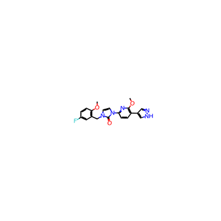 COc1ccc(F)cc1Cn1ccn(-c2ccc(-c3cn[nH]c3)c(OC)n2)c1=O